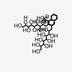 O=S(=O)(O)c1c(CC(O)C(O)C(O)C(O)C(O)C(O)C(O)CO)c(CC(O)C(O)C(O)C(O)C(O)C(O)C(O)CO)cc2ccccc12